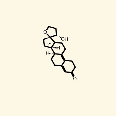 C[C@]12CCC3=C4CCC(=O)C=C4CC[C@H]3[C@@H]1CC[C@]21OCC[C@@H]1O